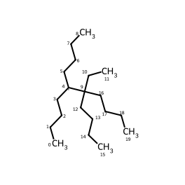 CCCC[C](CCCC)C(CC)(CCCC)CCCC